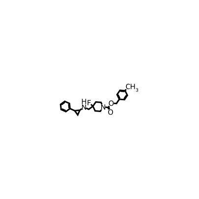 Cc1ccc(COC(=O)N2CCC(F)(CNC3CC3c3ccccc3)CC2)cc1